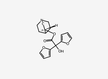 O=C(O[C@H]1CN2CCC1CC2)C(O)(c1ccco1)c1ccco1